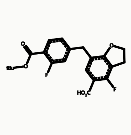 CC(C)(C)OC(=O)c1ccc(Cc2cc(C(=O)O)c(F)c3c2OCC3)cc1F